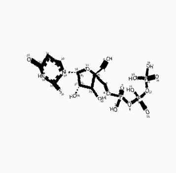 C#C[C@]1(COP(=O)(O)OP(=O)(O)OP(=O)(O)O)O[C@@H](n2ccc(=O)[nH]c2=S)[C@@H](O)C1O